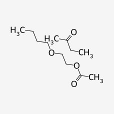 CCC(C)=O.CCCCOCCOC(C)=O